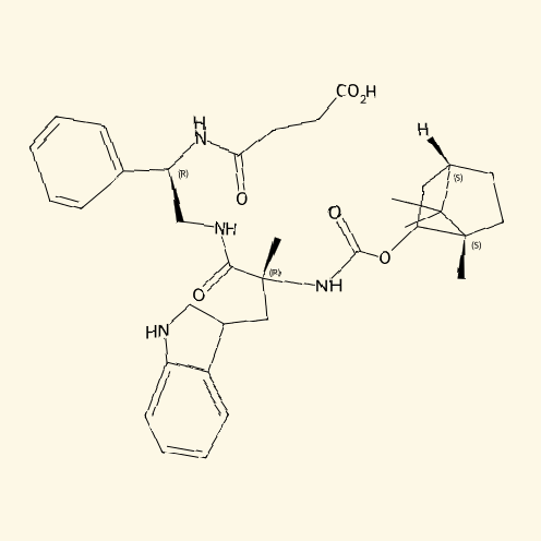 CC1(C)[C@H]2CC[C@]1(C)C(OC(=O)N[C@](C)(CC1CNc3ccccc31)C(=O)NC[C@H](NC(=O)CCC(=O)O)c1ccccc1)C2